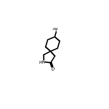 O=C1CC2(CCC([18F])CC2)CN1